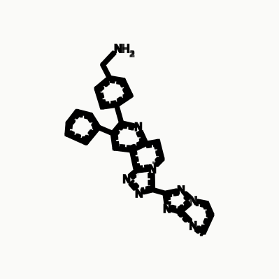 NCc1ccc(-c2nc3ccn4c(-c5nc6ncccn6n5)nnc4c3cc2-c2ccccc2)cc1